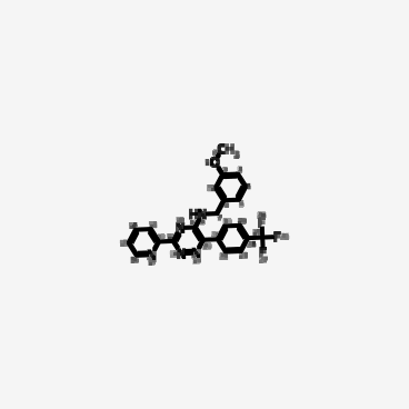 COc1cccc(CNc2nc(-c3ccccn3)nnc2-c2ccc(C(F)(F)F)cc2)c1